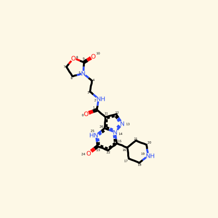 O=C(NCCN1CCOC1=O)c1cnn2c(C3CCNCC3)cc(=O)[nH]c12